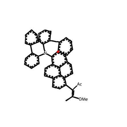 CO/C(C)=C(\C(C)=O)c1ccc2ccc3c(N(c4ccccc4-c4ccccc4)c4ccccc4-c4ccccc4)ccc4ccc1c2c43